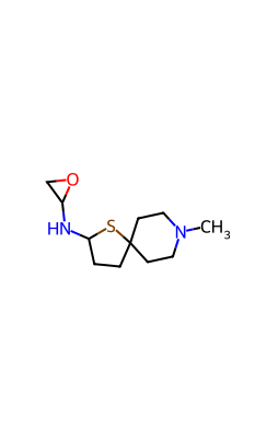 CN1CCC2(CCC(NC3CO3)S2)CC1